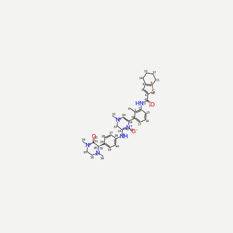 Cc1c(NC(=O)c2cc3c(s2)CCCC3)cccc1C1=CN(C)CC(Nc2ccc([C@@H]3C(=O)N(C)CCN3C)cc2)=[N+]1[O-]